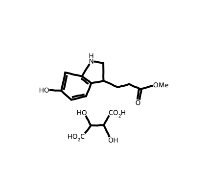 COC(=O)CCC1CNc2cc(O)ccc21.O=C(O)C(O)C(O)C(=O)O